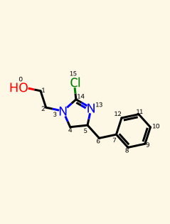 OCCN1CC(Cc2ccccc2)N=C1Cl